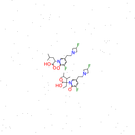 CC(C)CC(C(=O)O)n1cc(CCN2CC(F)C2)cc(F)c1=O.CCC(C(=O)O)(C(C)C(C)C)n1cc(CCN2CC(F)C2)cc(F)c1=O